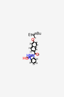 CCCCC(CC)COc1ccc2cc(C(=O)N3NN(O)c4ccccc43)ccc2c1